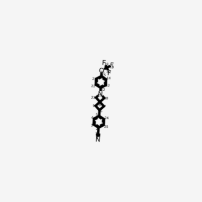 N#Cc1ccc(C2CC3(C2)CN(c2ccc(OC(F)(F)F)cc2)C3)cc1